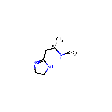 C[C@@H](CC1=NCCN1)NC(=O)O